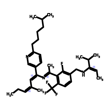 C/C=C(\NCc1ccc(C(F)(F)F)c(/C(C)=N/C(=C\C(C)=C/CC)c2ccc(CCCCC(C)C)nc2)c1F)C(C)C